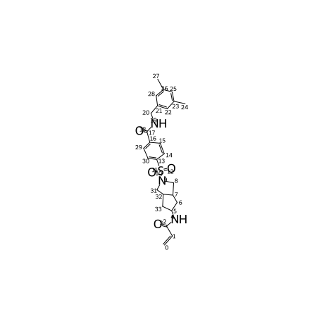 C=CC(=O)NC1CC2CN(S(=O)(=O)c3ccc(C(=O)NCc4cc(C)cc(C)c4)cc3)CC2C1